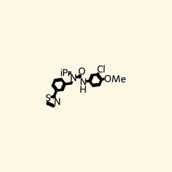 COc1ccc(NC(=O)N(Cc2cccc(-c3nccs3)c2)C(C)C)cc1Cl